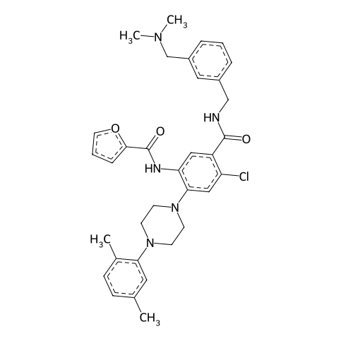 Cc1ccc(C)c(N2CCN(c3cc(Cl)c(C(=O)NCc4cccc(CN(C)C)c4)cc3NC(=O)c3ccco3)CC2)c1